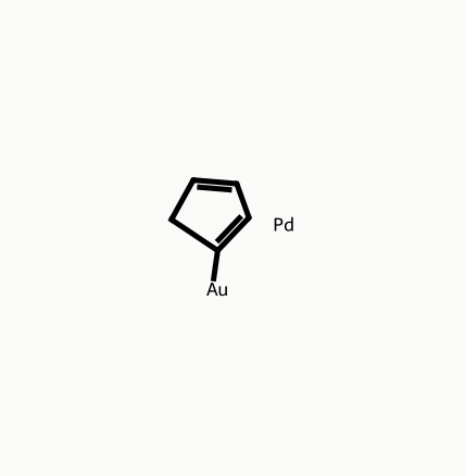 [Au][C]1=CC=CC1.[Pd]